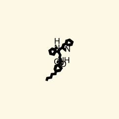 CCCCCc1ccc(S(=O)(=O)NCCc2c(-c3cnc4ccccc4c3)[nH]c3ccccc23)cc1